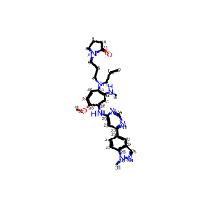 CCCN(CCCN1CCCC1=O)C1=C(NC)C=C(Nc2cc(-c3ccc4c(cnn4C)c3)ncn2)C(OC)C=C1